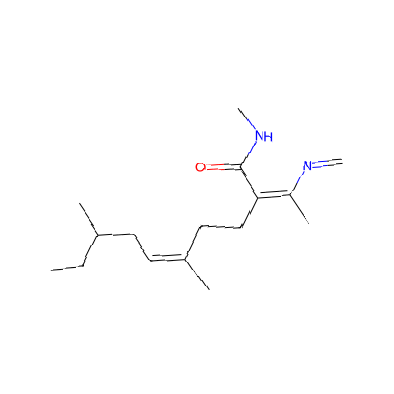 C=N/C(C)=C(/CC/C(C)=C\CC(C)CC)C(=O)NC